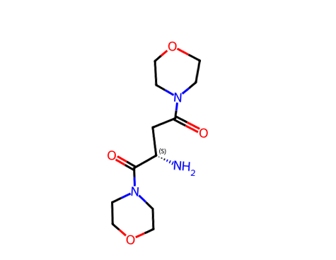 N[C@@H](CC(=O)N1CCOCC1)C(=O)N1CCOCC1